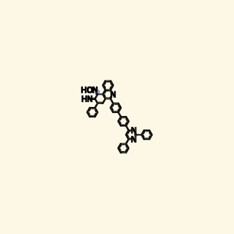 N=C1C(c2ccccc2)=Cc2c(-c3ccc(-c4ccc(-c5cc(-c6ccccc6)nc(-c6ccccc6)n5)cc4)cc3)nc3ccccc3c2/C1=N/O